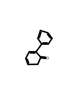 O=C1CC=CC=C1c1ccccc1